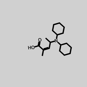 CC(=CC(C)N(C1CCCCC1)C1CCCCC1)C(=O)O